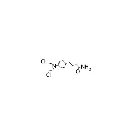 NC(=O)CCCc1ccc(N(CCCl)CCCl)cc1